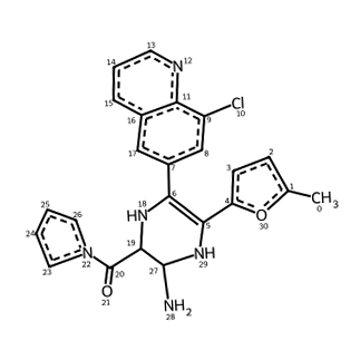 Cc1ccc(C2=C(c3cc(Cl)c4ncccc4c3)NC(C(=O)n3cccc3)C(N)N2)o1